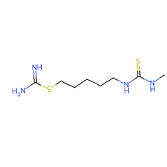 CNC(=S)NCCCCCSC(=N)N